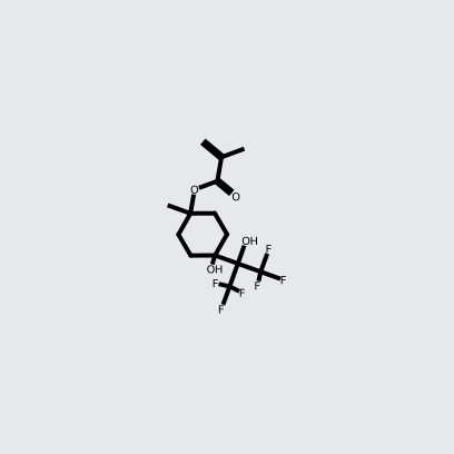 C=C(C)C(=O)OC1(C)CCC(O)(C(O)(C(F)(F)F)C(F)(F)F)CC1